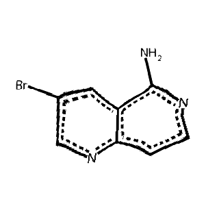 Nc1nccc2ncc(Br)cc12